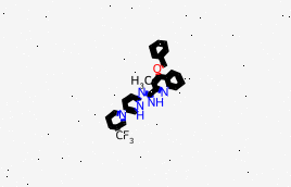 Cc1c(C(=N)/N=c2/ccc(N3CCCC(C(F)(F)F)C3)c[nH]2)nc2ccccc2c1OCc1ccccc1